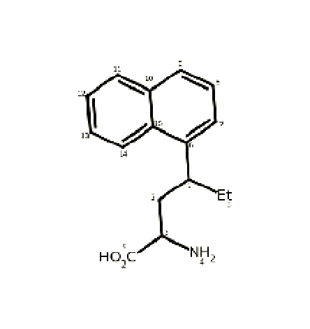 CCC(CC(N)C(=O)O)c1cccc2ccccc12